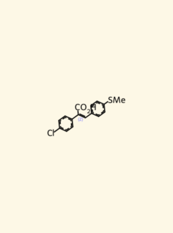 CSc1ccc(/C=C(\C(=O)O)c2ccc(Cl)cc2)cc1